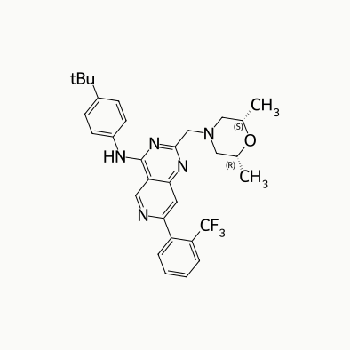 C[C@@H]1CN(Cc2nc(Nc3ccc(C(C)(C)C)cc3)c3cnc(-c4ccccc4C(F)(F)F)cc3n2)C[C@H](C)O1